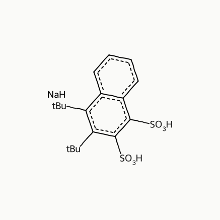 CC(C)(C)c1c(S(=O)(=O)O)c(S(=O)(=O)O)c2ccccc2c1C(C)(C)C.[NaH]